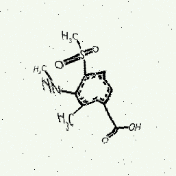 CNc1c(S(C)(=O)=O)ccc(C(=O)O)c1C